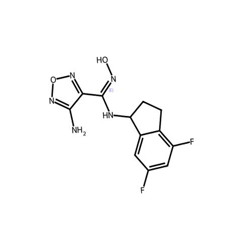 Nc1nonc1/C(=N\O)NC1CCc2c(F)cc(F)cc21